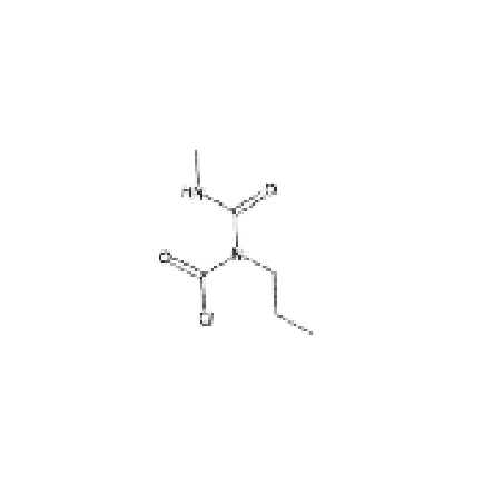 CCCN(C(=O)Cl)C(=O)NC